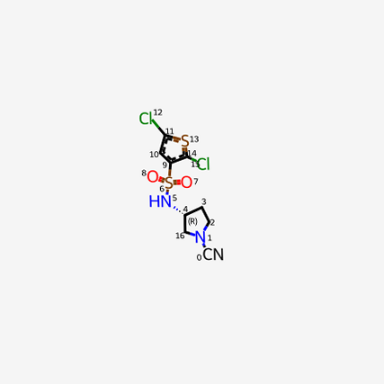 N#CN1CC[C@@H](NS(=O)(=O)c2cc(Cl)sc2Cl)C1